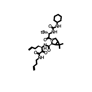 C=CCCNC(=O)C(=O)[C@@H](CCC=C)NC(=O)[C@@H]1C2C(CN1C(=O)[C@@H](NC(=O)NC1CCCCC1)C(C)(C)C)C2(C)C